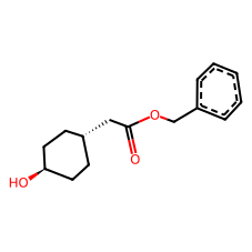 O=C(C[C@H]1CC[C@H](O)CC1)OCc1ccccc1